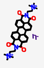 C[N+](C)(C)CCN1C(=O)c2ccc3c4ccc5c6c(ccc(c7ccc(c2c37)C1=O)c64)C(=O)N(CC[N+](C)(C)C)C5=O.[I-].[I-]